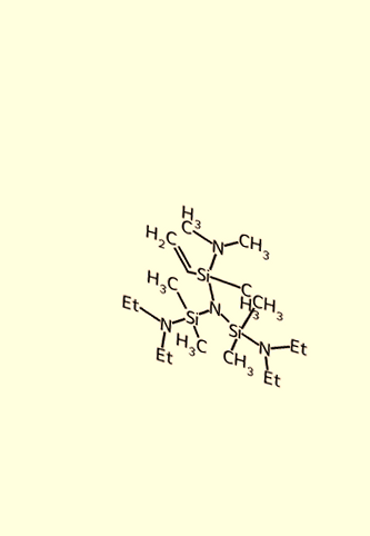 C=C[Si](C)(N(C)C)N([Si](C)(C)N(CC)CC)[Si](C)(C)N(CC)CC